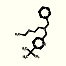 CCSCCN(Cc1ccccc1)Cc1ccc(C(C)(C)C)cn1